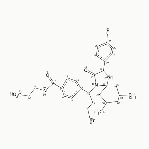 CC(C)CCC(c1ccc(C(=O)NCCC(=O)O)cc1)N1C(=O)C(c2ccc(F)cc2)NC12CC(C)CC(C)C2